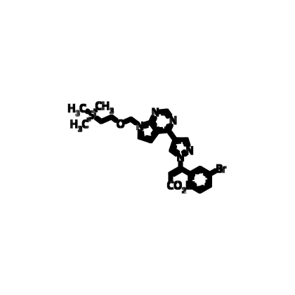 CCOC(=O)C=C(c1cccc(Br)c1)n1cc(-c2ncnc3c2ccn3COCC[Si](C)(C)C)cn1